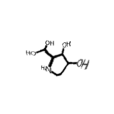 OC(O)C1NCC(O)C1O